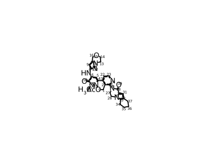 CC(=O)OCc1c(-c2cc(Nc3cc4n(n3)CCOC4)c(=O)n(C)n2)ccnc1N1CCn2c(cc3c2CCCC3)C1=O